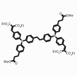 CCOC(=O)C(=Cc1ccc(N(c2ccc(CCC(=O)OC)cc2)c2ccc(CCc3ccc(N(c4ccc(C=C(C(=O)OCC)C(=O)OCC)cc4)c4ccc(CCC(=O)OC)cc4)cc3)cc2)cc1)C(=O)OCC